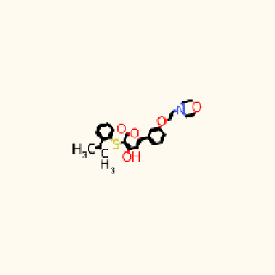 CC(C)c1ccccc1Sc1c(O)cc(-c2cccc(OCCN3CCOCC3)c2)oc1=O